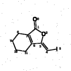 O=C1O/C(=C\I)C2=C1CCCC2